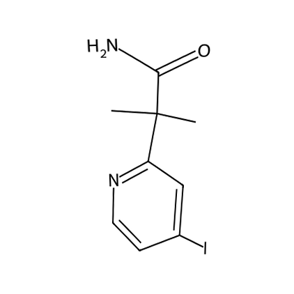 CC(C)(C(N)=O)c1cc(I)ccn1